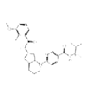 COc1cccc(C(=O)NC2CC3CCCN(c4ccc(C(=O)N[C@@H](C)C(C)C)cn4)C3C2)c1C